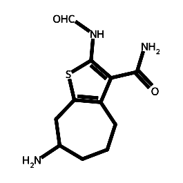 NC(=O)c1c(NC=O)sc2c1CCCC(N)C2